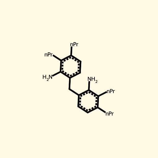 CCCc1ccc(Cc2ccc(CCC)c(CCC)c2N)c(N)c1CCC